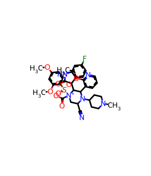 CCOc1ncccc1C1C(C2C(=O)Nc3cc(F)ccc32)[N+](C(=O)[O-])(S(=O)(=O)c2ccc(OC)cc2OC)CC(C#N)N1C1CCN(C)CC1